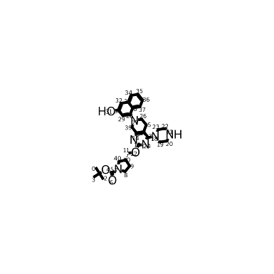 CC(C)(C)OC(=O)N1CC[C@@H](COc2nc3c(c(N4CCNCC4)n2)CCN(c2cc(O)cc4ccccc24)C3)C1